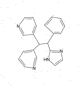 c1ccc(C(c2ncc[nH]2)C(c2cccnc2)c2cccnc2)cc1